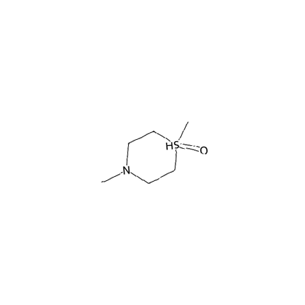 CN1CC[SH](C)(=O)CC1